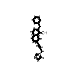 Oc1c(Cc2ccccc2)ccc2ccc(C#CCn3ccnc3)cc12